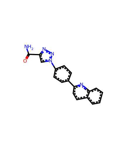 NC(=O)c1cn(-c2ccc(-c3ccc4ccccc4n3)cc2)nn1